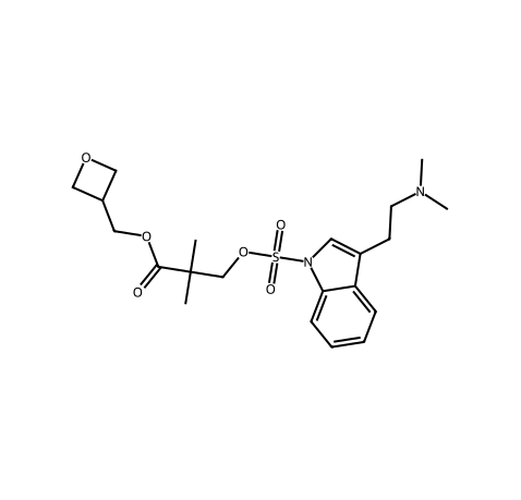 CN(C)CCc1cn(S(=O)(=O)OCC(C)(C)C(=O)OCC2COC2)c2ccccc12